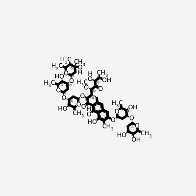 CO[C@H](C(=O)[C@@H](O)[C@@H](C)O)[C@@H]1Cc2cc3cc(O[C@H]4C[C@@H](O[C@H]5C[C@@H](O)[C@H](O)C(C)O5)[C@H](O)C(C)O4)c(C)c(O)c3c(O)c2C(=O)[C@H]1O[C@H]1C[C@@H](O[C@H]2C[C@@H](O[C@H]3C[C@](C)(O)[C@H](C)C(C)O3)[C@@H](O)C(C)O2)[C@H](O)C(C)O1